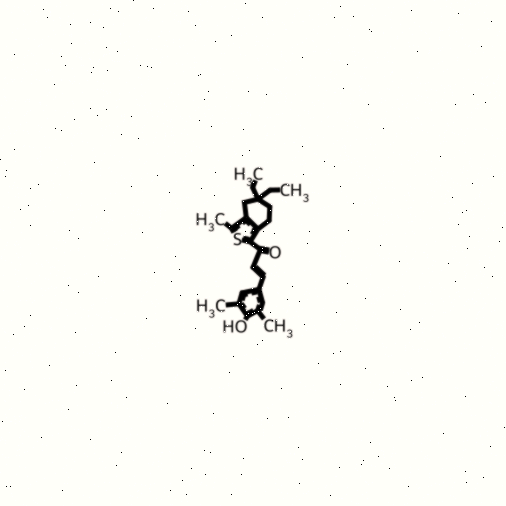 CCC1(CC)CCc2c(C(=O)C=Cc3cc(C)c(O)c(C)c3)sc(C)c2C1